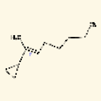 C/C(=C\CCCCC#N)C1CC1